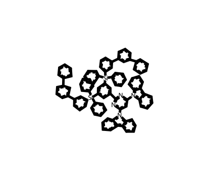 c1ccc(-c2cccc(-c3cccc([Si](c4ccccc4)(c4ccccc4)c4cc(-c5nc(-n6c7ccccc7c7ccccc76)cc(-n6c7ccccc7c7ccccc76)n5)cc([Si](c5ccccc5)(c5ccccc5)c5cccc(-c6cccc(-c7ccccc7)c6)c5)c4)c3)c2)cc1